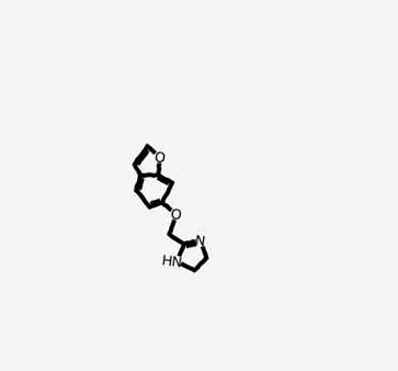 c1cc2ccc(OCC3=NCCN3)cc2o1